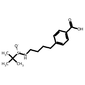 CC(C)(C)[S@+]([O-])NCCCCc1ccc(C(=O)O)cc1